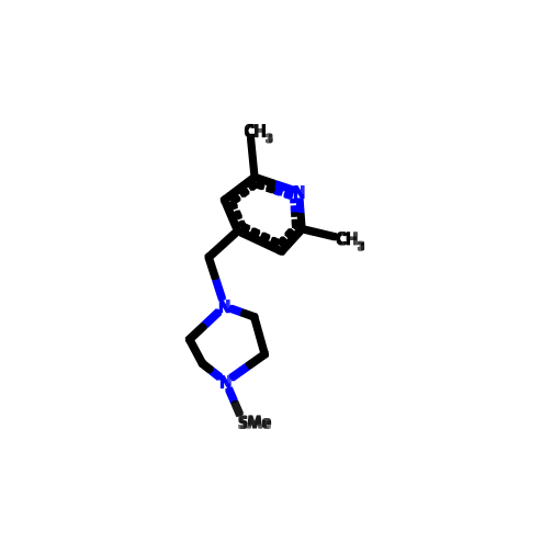 CSN1CCN(Cc2cc(C)nc(C)c2)CC1